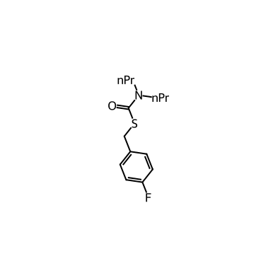 CCCN(CCC)C(=O)SCc1ccc(F)cc1